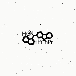 CCCC1(CCC)c2ccccc2-c2ccc(/C(=N/O)c3cccc4ccccc34)cc21